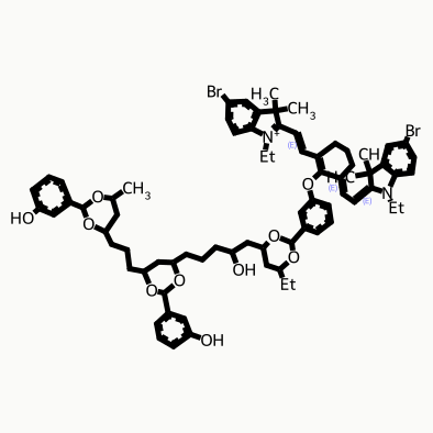 CCC1CC(CC(O)CCCC2CC(CCCC3CC(C)OC(c4cccc(O)c4)O3)OC(c3cccc(O)c3)O2)OC(c2cccc(OC3=C(/C=C/C4=[N+](CC)c5ccc(Br)cc5C4(C)C)CCC/C3=C\C=C3\N(CC)c4ccc(Br)cc4C3(C)C)c2)O1